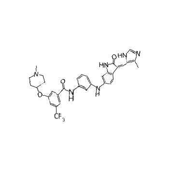 Cc1nc[nH]c1/C=C1\C(=O)Nc2cc(Nc3cccc(NC(=O)c4cc(OC5CCN(C)CC5)cc(C(F)(F)F)c4)c3)ccc21